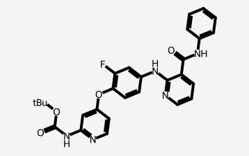 CC(C)(C)OC(=O)Nc1cc(Oc2ccc(Nc3ncccc3C(=O)Nc3ccccc3)cc2F)ccn1